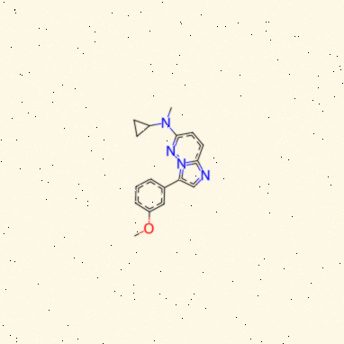 COc1cccc(-c2cnc3ccc(N(C)C4CC4)nn23)c1